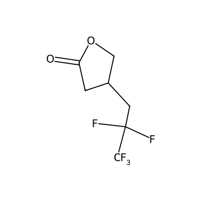 O=C1CC(CC(F)(F)C(F)(F)F)CO1